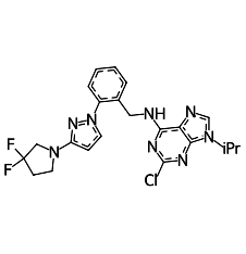 CC(C)n1cnc2c(NCc3ccccc3-n3ccc(N4CCC(F)(F)C4)n3)nc(Cl)nc21